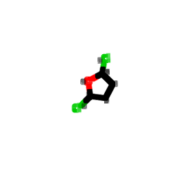 Cl[C]1CCC(Cl)O1